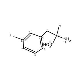 CC(N)(Cc1cccc(F)c1)C(=O)O